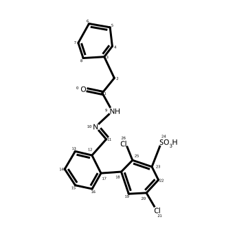 O=C(Cc1ccccc1)NN=Cc1ccccc1-c1cc(Cl)cc(S(=O)(=O)O)c1Cl